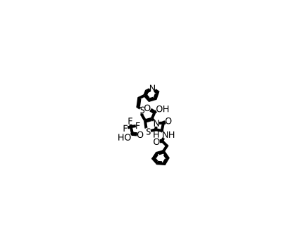 O=C(Cc1ccccc1)NC1C(=O)N2C(C(=O)O)=C(CS/C=C\c3cccnc3)CS[C@@H]12.O=C(O)C(F)(F)F